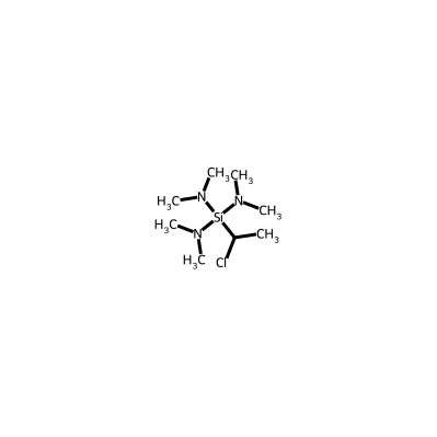 CC(Cl)[Si](N(C)C)(N(C)C)N(C)C